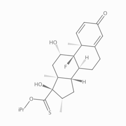 CC(C)OC(=S)[C@@]1(O)[C@@H](C)C[C@H]2[C@@H]3CCC4=CC(=O)C=C[C@]4(C)[C@@]3(F)[C@@H](O)C[C@@]21C